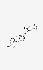 COC(=O)C(Cc1ccc(O)c(O)c1)NC(=O)/C=C/c1cc2c(cc1Br)OCO2